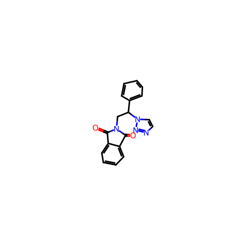 O=C1c2ccccc2C(=O)N1CC(c1ccccc1)n1ccnn1